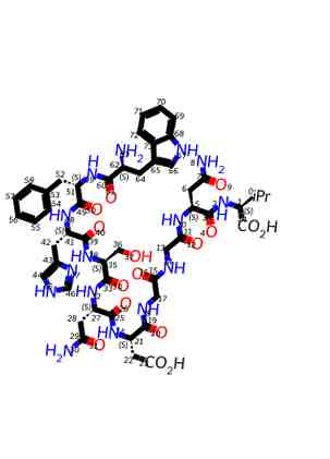 CC(C)[C@H](NC(=O)[C@H](CC(N)=O)NC(=O)CNC(=O)CNC(=O)[C@H](CC(=O)O)NC(=O)[C@H](CC(N)=O)NC(=O)[C@H](CO)NC(=O)[C@H](Cc1c[nH]cn1)NC(=O)[C@H](Cc1ccccc1)NC(=O)[C@@H](N)Cc1c[nH]c2ccccc12)C(=O)O